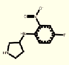 O=[N+]([O-])c1cc(F)ccc1NC1CCNC1